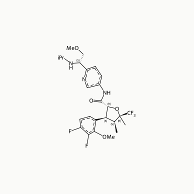 COC[C@@H](NC(C)C)c1ccc(NC(=O)[C@@H]2O[C@@](C)(C(F)(F)F)[C@@H](C)[C@H]2c2ccc(F)c(F)c2OC)cn1